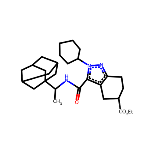 CCOC(=O)C1CCc2nn(C3CCCCC3)c(C(=O)NC(C)C34CC5CC(CC(C5)C3)C4)c2C1